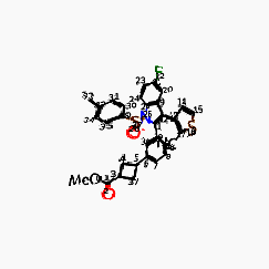 COC(=O)C1CC(c2cccc(-c3c(-c4ccsc4C#N)c4cc(F)ccc4n3[S+]([O-])c3ccc(C)cc3)c2)C1